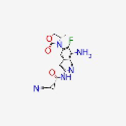 C[C@H]1COC(=O)N1c1cc2cc(NC(=O)[C@@H]3CC3C#N)ncc2c(N)c1F